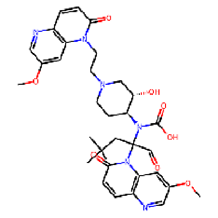 COc1cnc2ccc(=O)n(CCN3CC[C@H](N(C(=O)O)C(C=O)(CC(C)(C)C)n4c(=O)ccc5ncc(OC)cc54)[C@@H](O)C3)c2c1